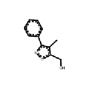 Cc1c(-c2ccccc2)noc1CO